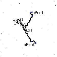 CCCCC/C=C\C/C=C\CCCCCCC(O)CN(CCCCN1CC(=O)NCC1=O)CC(O)CCCCCC/C=C\C/C=C\CCCCC